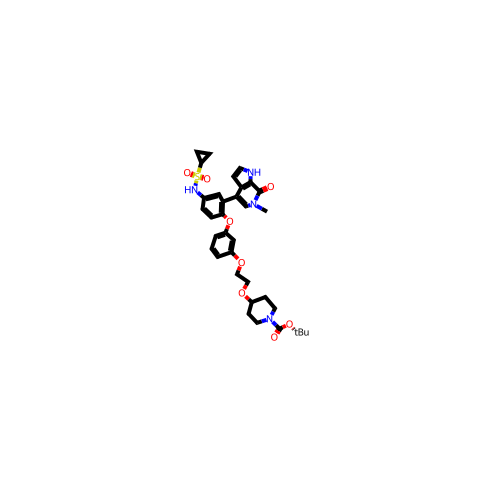 Cn1cc(-c2cc(NS(=O)(=O)C3CC3)ccc2Oc2cccc(OCCOC3CCN(C(=O)OC(C)(C)C)CC3)c2)c2cc[nH]c2c1=O